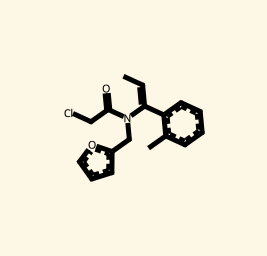 C/C=C(/c1ccccc1C)N(Cc1ccco1)C(=O)CCl